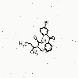 CCC(C)C(N)C(=O)Nc1ccc(Br)cc1C(=O)c1ccccc1